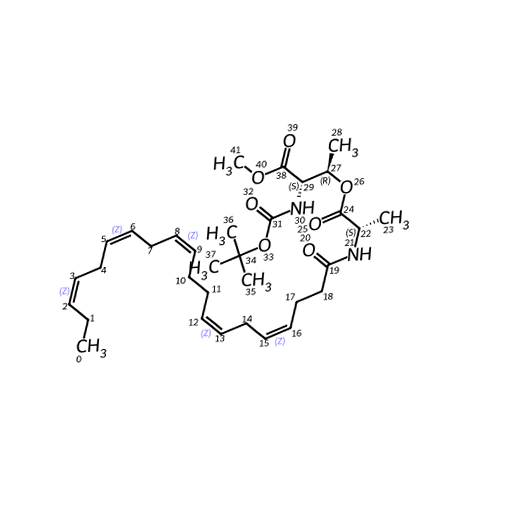 CC/C=C\C/C=C\C/C=C\CC/C=C\C/C=C\CCC(=O)N[C@@H](C)C(=O)O[C@H](C)[C@H](NC(=O)OC(C)(C)C)C(=O)OC